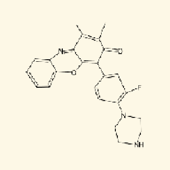 Cc1c2nc3ccccc3oc-2c(-c2ccc(N3CCNCC3)c(F)c2)c(=O)c1C